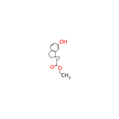 CCOC(=O)C1CC12CCc1ccc(O)cc12